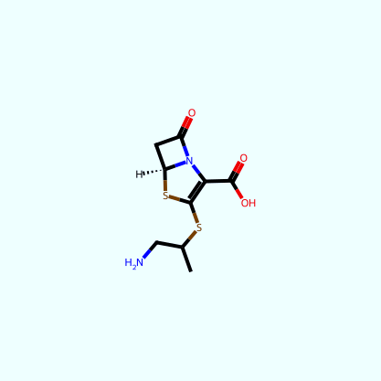 CC(CN)SC1=C(C(=O)O)N2C(=O)C[C@@H]2S1